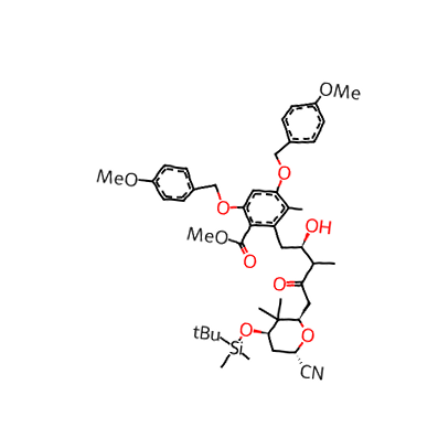 COC(=O)c1c(OCc2ccc(OC)cc2)cc(OCc2ccc(OC)cc2)c(C)c1C[C@@H](O)C(C)C(=O)C[C@H]1O[C@H](C#N)C[C@@H](O[Si](C)(C)C(C)(C)C)C1(C)C